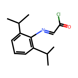 CC(C)c1cccc(C(C)C)c1/N=C/C(=O)Cl